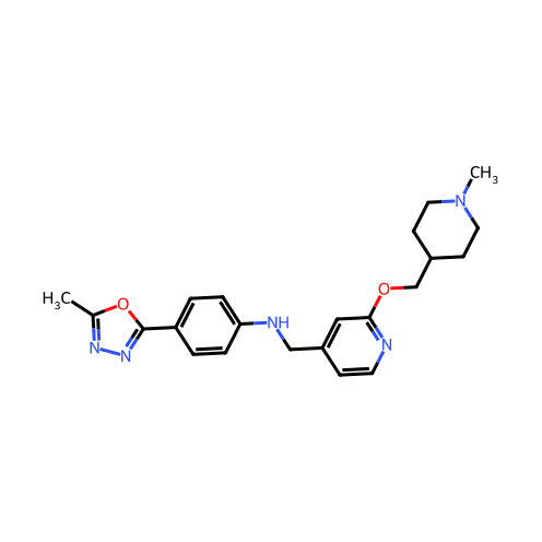 Cc1nnc(-c2ccc(NCc3ccnc(OCC4CCN(C)CC4)c3)cc2)o1